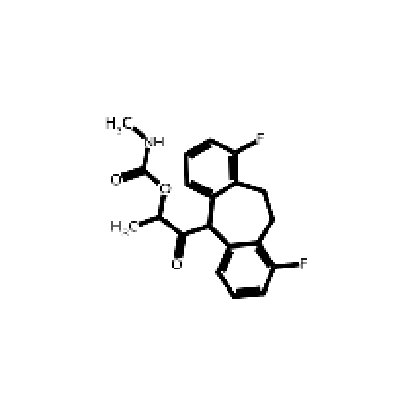 CNC(=O)OC(C)C(=O)C1c2cccc(F)c2CCc2c(F)cccc21